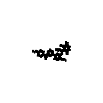 CC(Oc1cc(-c2cccc(C(=O)N3CCN(C)CC3)n2)cnc1N)c1c(Cl)ccc(F)c1Cl